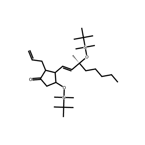 C=CCC1C(=O)CC(O[Si](C)(C)C(C)(C)C)C1/C=C/[C@](C)(CCCCC)O[Si](C)(C)C(C)(C)C